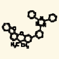 CC1(C)c2ccc(-c3cccc(-c4nc(-c5ccccc5)nc(-c5ccccc5)n4)c3)cc2Oc2c1ccc1c2oc2ccccc21